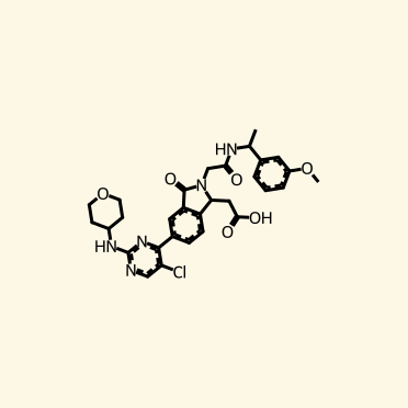 COc1cccc(C(C)NC(=O)CN2C(=O)c3cc(-c4nc(NC5CCOCC5)ncc4Cl)ccc3C2CC(=O)O)c1